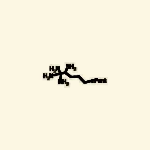 CCCCCCCCC(N)C(N)(N)N